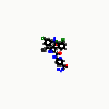 CC(C)(C)C[C@@H]1N[C@@H](C(=O)Nc2ccc(C(N)=O)cn2)[C@H](c2cccc(Cl)c2F)[C@]12C(=O)Nc1cc(Cl)ccc12